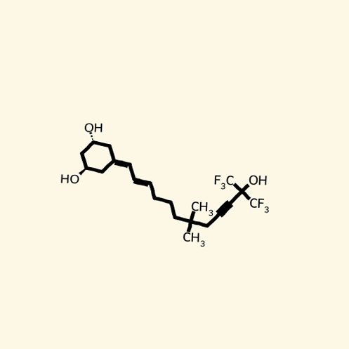 CC(C)(CC#CC(O)(C(F)(F)F)C(F)(F)F)CCC/C=C/C=C1C[C@@H](O)C[C@H](O)C1